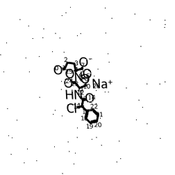 O=C1CCC(C(=O)[O-])(N2OC[C@H](NC(=O)C(Cl)c3ccccc3)C2=O)O1.[Na+]